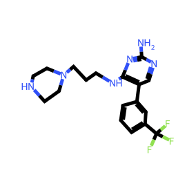 Nc1ncc(-c2cccc(C(F)(F)F)c2)c(NCCCN2CCNCC2)n1